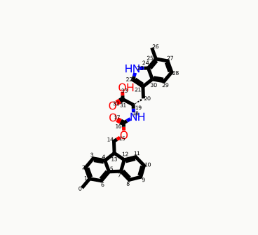 Cc1ccc2c(c1)-c1ccccc1C2COC(=O)N[C@@H](Cc1c[nH]c2c(C)cccc12)C(=O)O